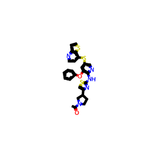 CC(=O)N1CCC(c2csc(Nc3ncc(Sc4ccnc5ccsc45)cc3Oc3ccccc3)n2)C1